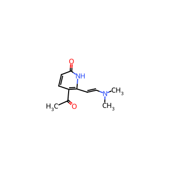 CC(=O)c1ccc(=O)[nH]c1C=CN(C)C